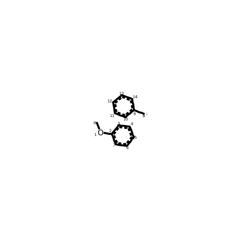 COc1cc[c]cc1.[CH2]c1ccccc1